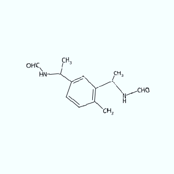 Cc1ccc(C(C)NC=O)cc1C(C)NC=O